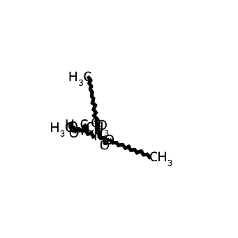 CCCCCCCCCCCCCCOC(=O)CCN(CCCN(CCC(=O)OC)C(C)C)CCC(=O)OCCCCCCCCCCCCCC